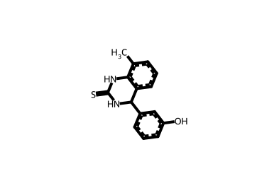 Cc1cccc2c1NC(=S)NC2c1cccc(O)c1